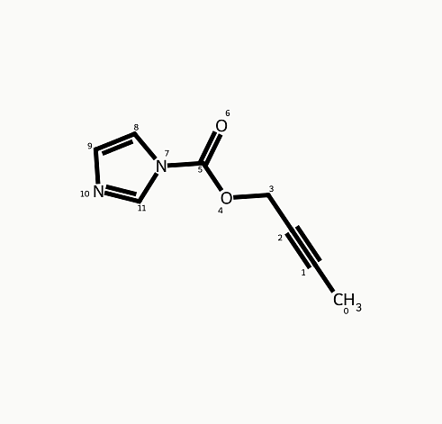 CC#CCOC(=O)n1ccnc1